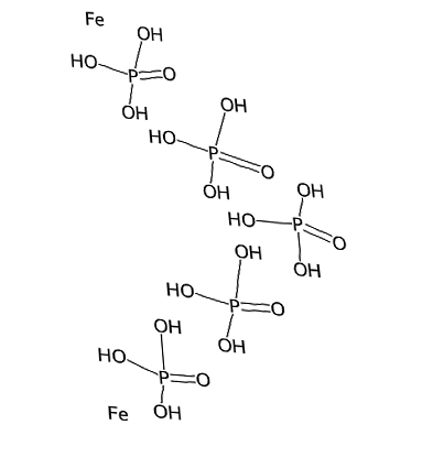 O=P(O)(O)O.O=P(O)(O)O.O=P(O)(O)O.O=P(O)(O)O.O=P(O)(O)O.[Fe].[Fe]